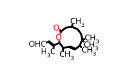 C/C(=C\C=O)C1OC(=O)CC(C)CCC(C)(C)C(C)/C=C/C1C